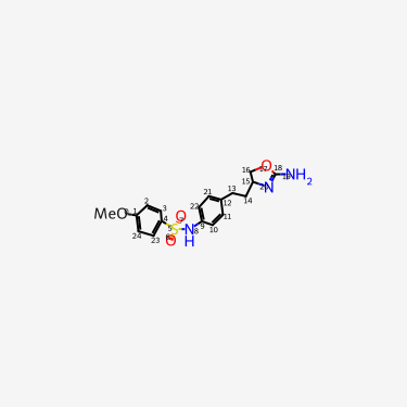 COc1ccc(S(=O)(=O)Nc2ccc(CCC3COC(N)=N3)cc2)cc1